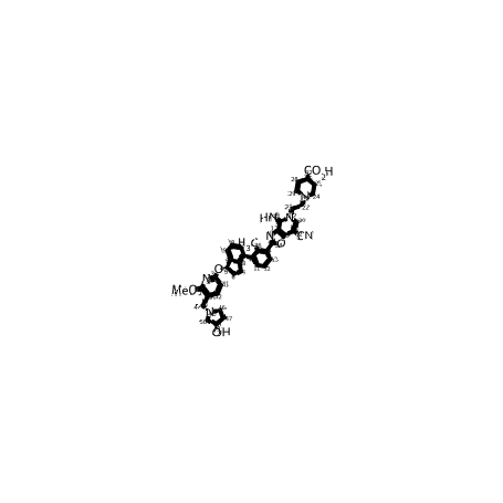 COc1nc(O[C@H]2CCc3c(-c4cccc(-c5nc6c(=N)n(CCN7CCC(C(=O)O)CC7)cc(C#N)c6o5)c4C)cccc32)ccc1CN1CC[C@@H](O)C1